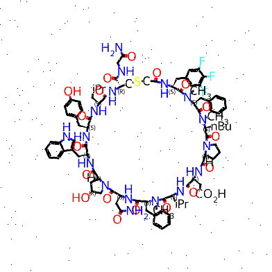 CCCC[C@H]1C(=O)N2CCC[C@@H]2C(=O)N[C@@H](CC(=O)O)C(=O)N[C@@H](C(C)C)C(=O)N(C)[C@@H](Cc2ccccc2)C(=O)N[C@@H](CC(N)=O)C(=O)N2C[C@H](O)C[C@H]2C(=O)N[C@@H](Cc2c[nH]c3ccccc23)C(=O)N[C@@H](Cc2ccc(O)cc2)C(=O)N[C@@H](CC(C)C)C(=O)N[C@H](C(=O)NCC(N)=O)CSCC(=O)N[C@@H](Cc2cc(F)c(F)c(F)c2)C(=O)N(C)[C@@H](Cc2ccccc2)C(=O)N1C